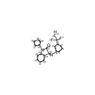 CC(F)(F)c1cccc(N=C2C(=O)N(c3ccsc3)c3ccccc32)c1